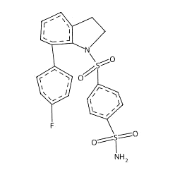 NS(=O)(=O)c1ccc(S(=O)(=O)N2CCc3cccc(-c4ccc(F)cc4)c32)cc1